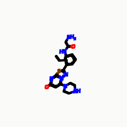 CCc1c(NC(=O)CN)cccc1-c1nn2c(N3CCNCC3)cc(=O)nc2s1